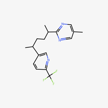 Cc1cnc(C(C)CCC(C)c2ccc(C(F)(F)F)nc2)nc1